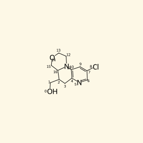 OCC1Cc2ncc(Cl)cc2N2CCOCC12